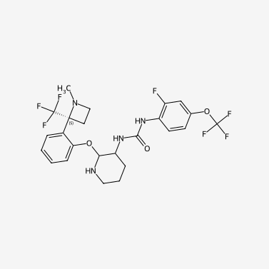 CN1CC[C@]1(c1ccccc1OC1NCCCC1NC(=O)Nc1ccc(OC(F)(F)F)cc1F)C(F)(F)F